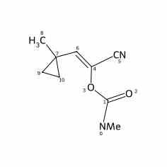 CNC(=O)OC(C#N)=CC1(C)CC1